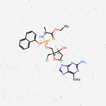 CNc1nc(N)nc2c1ncn2[C@H]1C[C@@](O)(F)[C@@](CCl)(CO[P@@](=S)(N[C@@H](C)C(=O)OCC(C)(C)C)Oc2cccc3ccccc23)O1